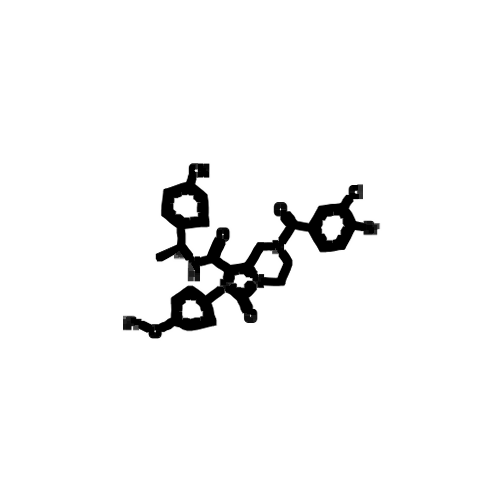 CC(C)Oc1ccc(-n2c(C(=O)N[C@@H](C)c3ccc(C#N)cc3)c3n(c2=O)CCN(C(=O)c2ccc(Br)c(Cl)c2)C3)cc1